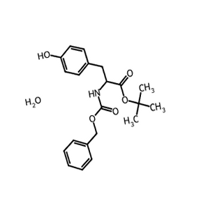 CC(C)(C)OC(=O)C(Cc1ccc(O)cc1)NC(=O)OCc1ccccc1.O